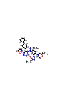 C=CC(=O)Nc1cc(Nc2cc(N3OCC[C@@H]3c3cccc(-c4ccccc4)c3)ncn2)c(OC)cc1N1CCO[C@@H](C)C1